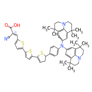 CC1(C)CCN2CCC(C)(C)c3cc(N(c4ccc(C5CC=C(c6ccc(-c7ccc(/C=C(\C#N)C(=O)O)s7)s6)S5)cc4)c4cc5c6c(c4)C(C)(C)CCN6CCC5(C)C)cc1c32